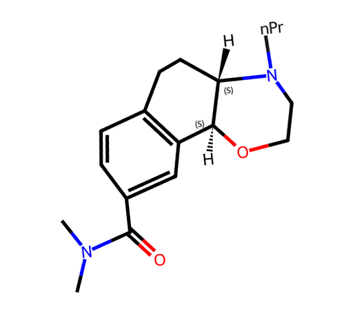 CCCN1CCO[C@H]2c3cc(C(=O)N(C)C)ccc3CC[C@@H]21